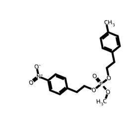 COP(=O)(OCCc1ccc(C)cc1)OCCc1ccc([N+](=O)[O-])cc1